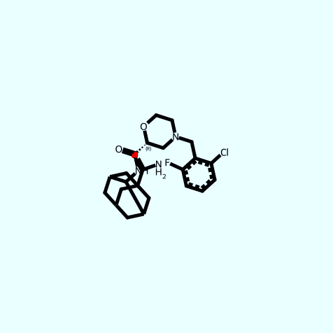 NC(=O)C12CC3CC(C1)C(NC(=O)[C@H]1CN(Cc4c(F)cccc4Cl)CCO1)C(C3)C2